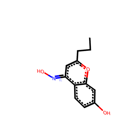 CCCc1c/c(=N\O)c2ccc(O)cc2o1